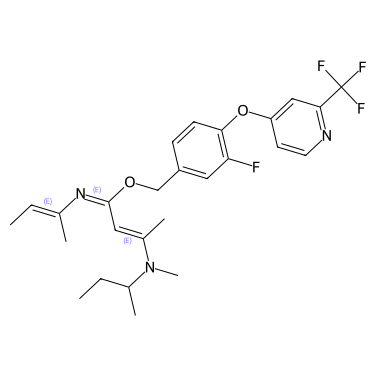 C/C=C(C)/N=C(\C=C(/C)N(C)C(C)CC)OCc1ccc(Oc2ccnc(C(F)(F)F)c2)c(F)c1